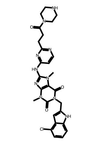 Cn1c(Nc2ccnc(CCC(=O)N3CCNCC3)n2)nc2c1c(=O)n(Cc1cc3c(Cl)cccc3[nH]1)c(=O)n2C